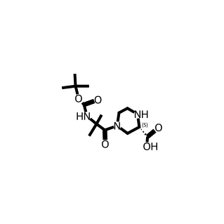 CC(C)(C)OC(=O)NC(C)(C)C(=O)N1CCN[C@H](C(=O)O)C1